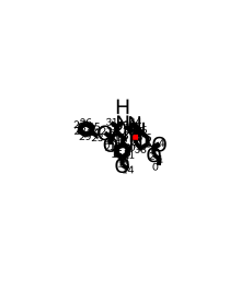 CCOC(=O)[C@@H]1CCCN(c2cc(OC)ccc2C2C(C(=O)OCc3ccccc3)=C(C)Nc3nnnn32)C1